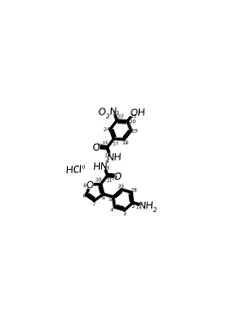 Cl.Nc1ccc(-c2ccoc2C(=O)NNC(=O)c2ccc(O)c([N+](=O)[O-])c2)cc1